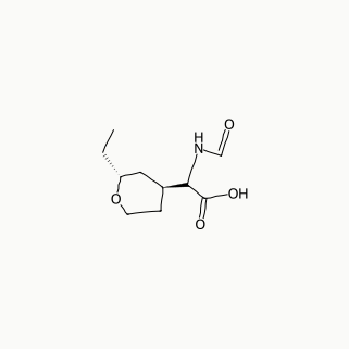 CC[C@@H]1C[C@@H](C(NC=O)C(=O)O)CCO1